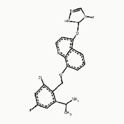 CC(N)c1cc(F)cc(Cl)c1COc1cccc2c(OC3NN=CN3F)ccnc12